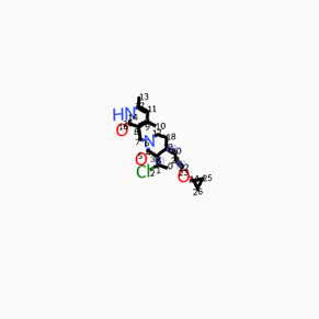 C/C(Cl)=C1/C(=O)N(Cc2c(C)cc(C)[nH]c2=O)CC/C1=C/C=C/OC1CC1